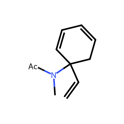 C=CC1(N(C)C(C)=O)C=CC=CC1